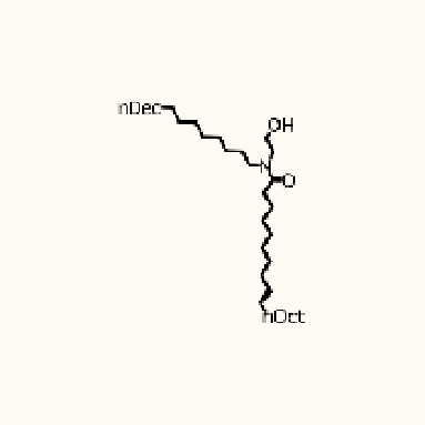 CCCCCCCCC=CCCCCCCCC(=O)N(CCO)CCCCCCCCCCCCCCCCCC